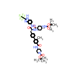 Cc1cc(C(=O)NC2CCN(C(=O)OC(C)(C)C)CC2)ccc1-c1ccc(C[C@H](NC(=O)[C@H]2CC[C@H](CNC(=O)OC(C)(C)C)CC2)C(=O)Nc2ccc3[nH]c(C(F)(F)C(F)(F)F)nc3c2)cc1